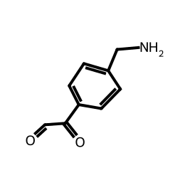 NCc1ccc(C(=O)C=O)cc1